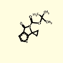 CC(C)(C)OC(=O)N1C(=O)c2ccsc2C12CC2